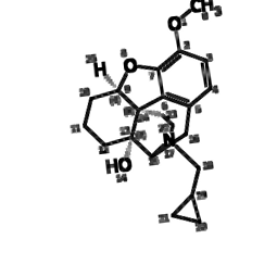 COc1ccc2c3c1O[C@@H]1CCC[C@]4(O)C(C2)N(CC2CC2)CC[C@@]314